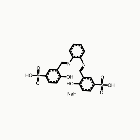 O=S(=O)(O)c1ccc(O)c(C=Nc2ccccc2N=Cc2cc(S(=O)(=O)O)ccc2O)c1.[NaH]